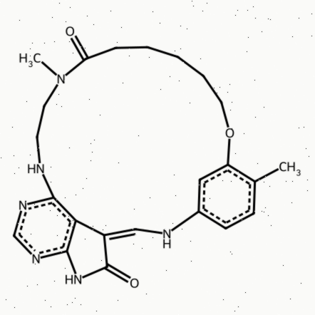 Cc1ccc2cc1OCCCCCC(=O)N(C)CCNc1ncnc3c1/C(=C/N2)C(=O)N3